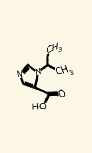 CC(C)n1cncc1C(=O)O